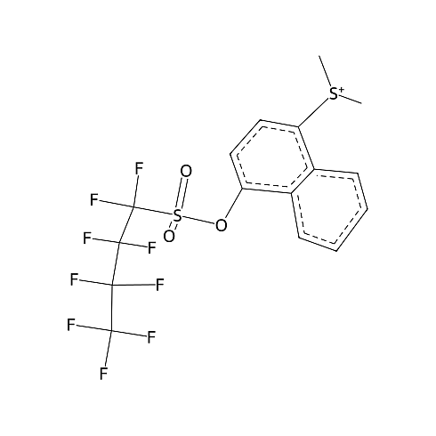 C[S+](C)c1ccc(OS(=O)(=O)C(F)(F)C(F)(F)C(F)(F)C(F)(F)F)c2ccccc12